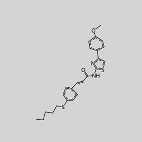 CCCCCSc1ccc(/C=C/C(=O)Nc2nc(-c3ccc(OC)cc3)cs2)cc1